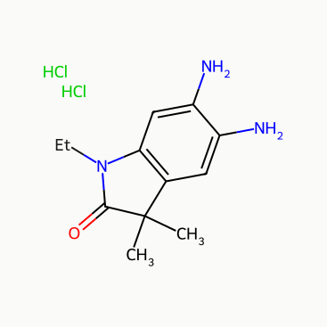 CCN1C(=O)C(C)(C)c2cc(N)c(N)cc21.Cl.Cl